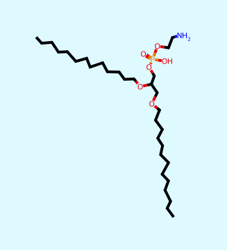 CCCCCCCCCCCCCOCC(COP(=O)(O)OCCN)OCCCCCCCCCCCCC